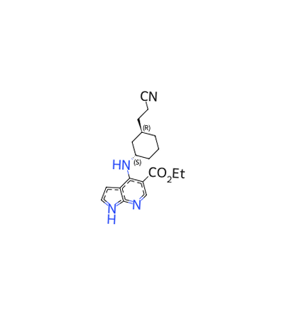 CCOC(=O)c1cnc2[nH]ccc2c1N[C@H]1CCC[C@H](CCC#N)C1